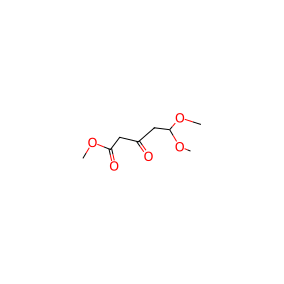 COC(=O)CC(=O)CC(OC)OC